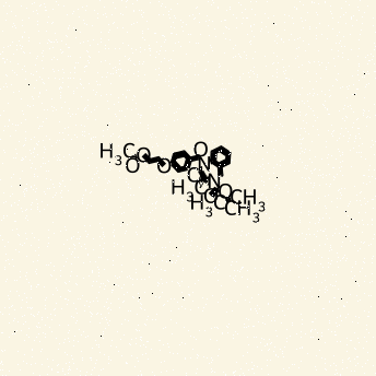 CC(=O)OCCOc1ccc(C(=O)N2C[C@@H](C)N(C(=O)OC(C)(C)C)Cc3ccccc32)c(Cl)c1